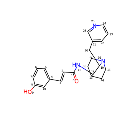 O=C(C=Cc1cccc(O)c1)NC1C2CCN(CC2)C1Cc1cccnc1